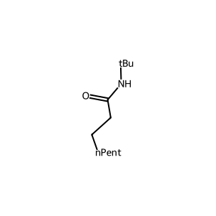 [CH2]CCCCCCC(=O)NC(C)(C)C